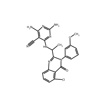 COc1cccc(-n2c(C(C)Nc3nc(N)nc(N)c3C#N)nc3cccc(Cl)c3c2=O)c1